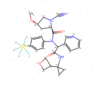 CO[C@@H]1C[C@H](C(=O)N(c2ccc(S(F)(F)(F)(F)F)cc2)C(C(=O)NC2(C3COC3)CC2)c2cccnc2)N(C#N)C1